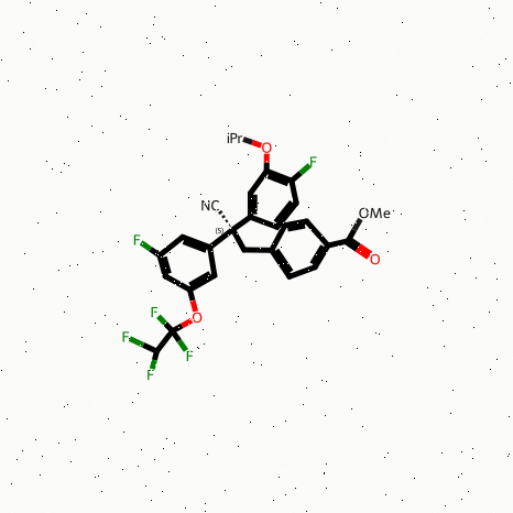 COC(=O)c1ccc(C[C@@](C#N)(c2cc(F)cc(OC(F)(F)C(F)F)c2)c2ccc(F)c(OC(C)C)c2)cc1